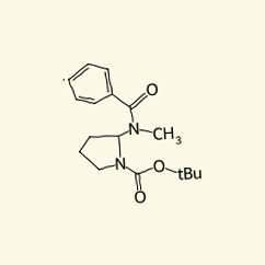 CN(C(=O)c1cc[c]cc1)C1CCCN1C(=O)OC(C)(C)C